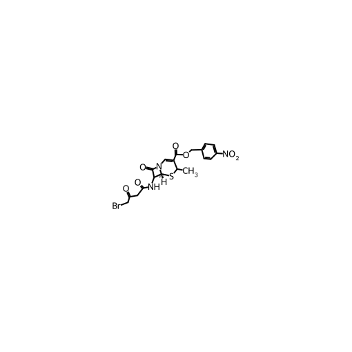 CC1S[C@@H]2C(NC(=O)CC(=O)CBr)C(=O)N2C=C1C(=O)OCc1ccc([N+](=O)[O-])cc1